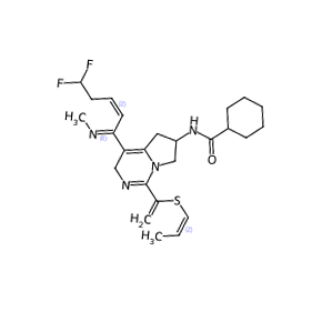 C=C(S/C=C\C)C1=NCC(C(/C=C\CC(F)F)=N/C)=C2CC(NC(=O)C3CCCCC3)CN12